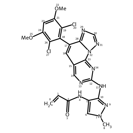 C=CC(=O)Nc1cn(C)nc1Nc1ncc2cc(-c3c(Cl)c(OC)cc(OC)c3Cl)c3ncnn3c2n1